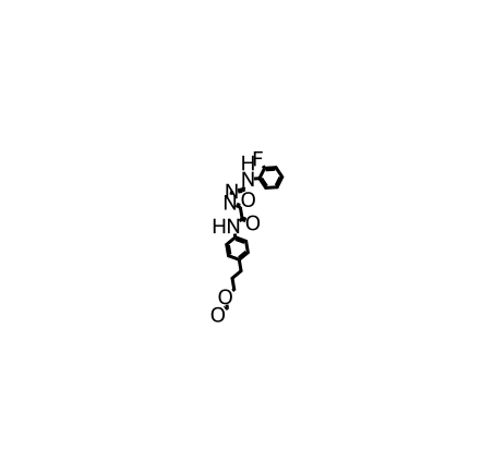 O=COCCCc1ccc(NC(=O)c2nnc(Nc3ccccc3F)o2)cc1